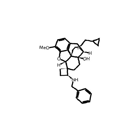 COc1ccc2c3c1O[C@H]1[C@@]4(CC[C@@H]4NCc4ccccc4)CC[C@@]4(O)[C@@H](C2)N(CC2CC2)CC[C@]314